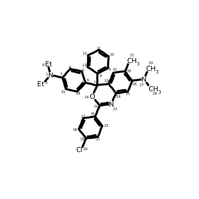 CCN(CC)c1ccc(C2(c3ccccc3)OC(c3ccc(Cl)cc3)=Nc3cc(N(C)C)c(C)cc32)cc1